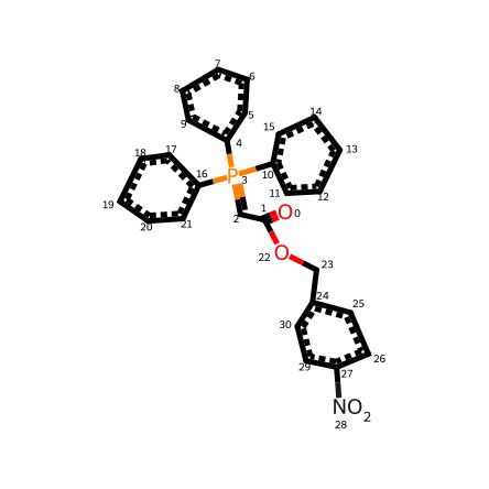 O=C(C=P(c1ccccc1)(c1ccccc1)c1ccccc1)OCc1ccc([N+](=O)[O-])cc1